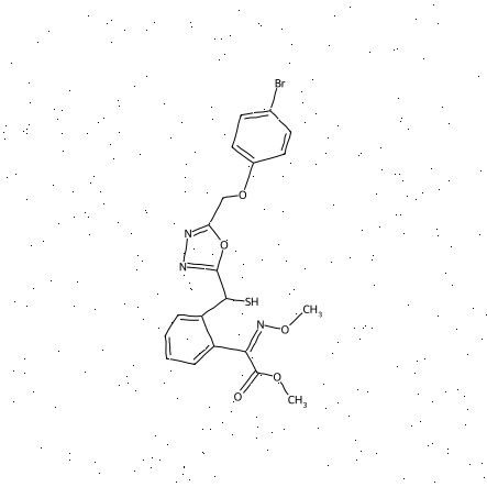 CON=C(C(=O)OC)c1ccccc1C(S)c1nnc(COc2ccc(Br)cc2)o1